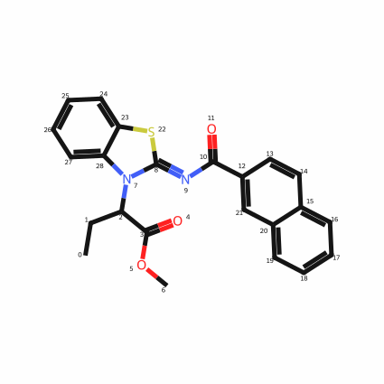 CCC(C(=O)OC)n1c(=NC(=O)c2ccc3ccccc3c2)sc2ccccc21